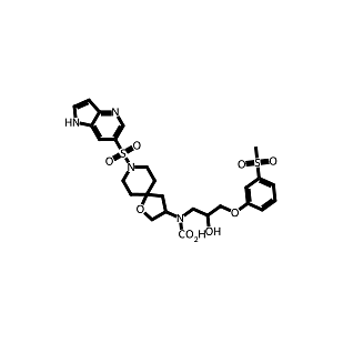 CS(=O)(=O)c1cccc(OCC(O)CN(C(=O)O)C2COC3(CCN(S(=O)(=O)c4cnc5cc[nH]c5c4)CC3)C2)c1